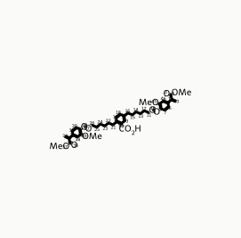 C=C(C(=O)OC)c1ccc(OOCCCCCCc2ccc(CCCCCCOOc3ccc(C(=C)C(=O)OC)cc3OC)c(C(=O)O)c2)c(OC)c1